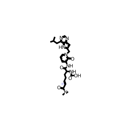 CC(C)Cc1ncnc2cc(Cn3cccc(NC(=O)C(CC/C=C/C(=O)N(C)C)NC(=O)O)c3=O)[nH]c12